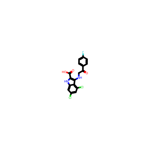 O=C(CNc1c(C(=O)O)[nH]c2cc(Cl)cc(Cl)c12)c1ccc(F)cc1